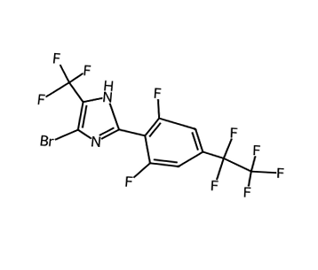 Fc1cc(C(F)(F)C(F)(F)F)cc(F)c1-c1nc(Br)c(C(F)(F)F)[nH]1